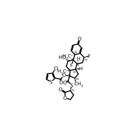 C[C@@H]1C[C@H]2[C@@H]3C[C@H](F)C4=CC(=O)C=C[C@]4(C)[C@@]3(F)[C@@H](O)C[C@]2(C)[C@@]1(OC(=O)c1sccc1Cl)C(=O)S[C@H]1CCOC1=O